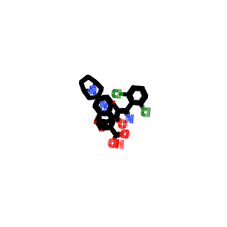 O=C(O)c1ccc2cc(N3C4CCC3CC(NCc3c(-c5c(Cl)cccc5Cl)noc3C3CC3)C4)ccc2c1